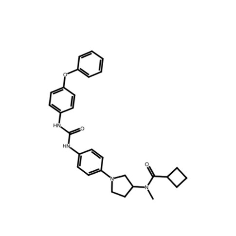 CN(C(=O)C1CCC1)C1CCN(c2ccc(NC(=O)Nc3ccc(Oc4ccccc4)cc3)cc2)C1